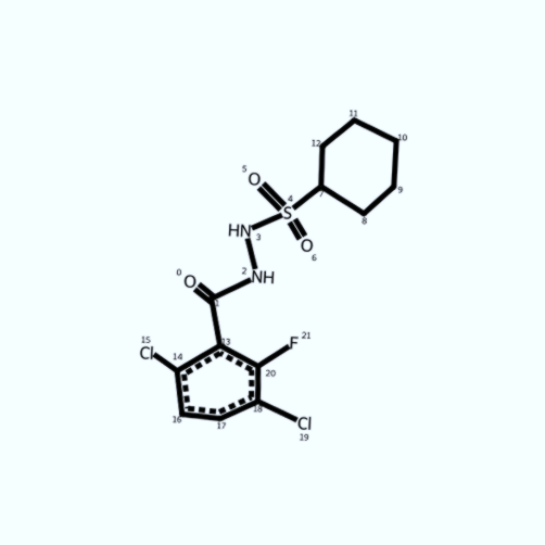 O=C(NNS(=O)(=O)C1CCCCC1)c1c(Cl)ccc(Cl)c1F